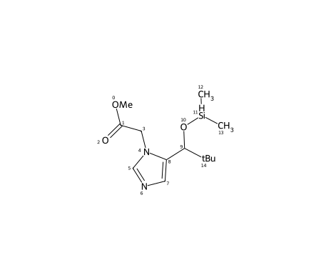 COC(=O)Cn1cncc1C(O[SiH](C)C)C(C)(C)C